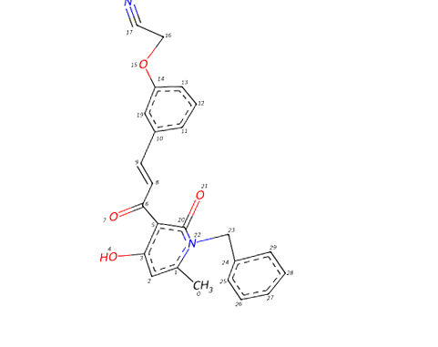 Cc1cc(O)c(C(=O)C=Cc2cccc(OCC#N)c2)c(=O)n1Cc1ccccc1